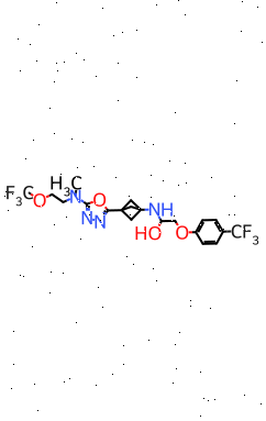 CN(CCOC(F)(F)F)c1nnc(C23CC(NC(O)COc4ccc(C(F)(F)F)cc4)(C2)C3)o1